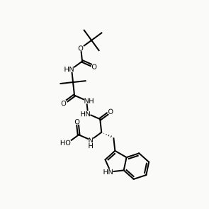 CC(C)(C)OC(=O)NC(C)(C)C(=O)NNC(=O)[C@H](Cc1c[nH]c2ccccc12)NC(=O)O